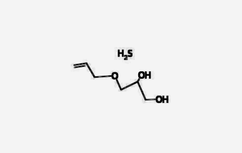 C=CCOCC(O)CO.S